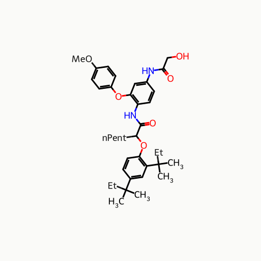 CCCCCC(Oc1ccc(C(C)(C)CC)cc1C(C)(C)CC)C(=O)Nc1ccc(NC(=O)CO)cc1Oc1ccc(OC)cc1